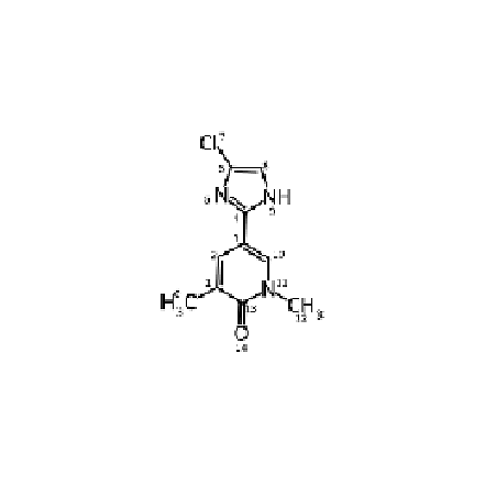 Cc1cc(-c2nc(Cl)c[nH]2)cn(C)c1=O